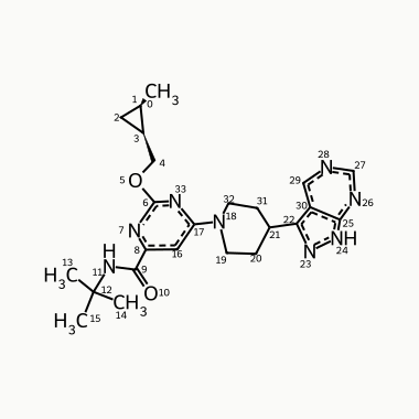 C[C@@H]1C[C@@H]1COc1nc(C(=O)NC(C)(C)C)cc(N2CCC(c3n[nH]c4ncncc34)CC2)n1